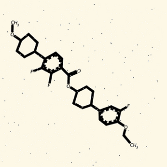 CCOc1ccc(C2CCC(OC(=O)c3ccc(C4CCC(OC)CC4)c(F)c3F)CC2)cc1F